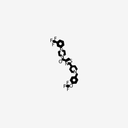 O=C(c1csc(C2CCN(Cc3ccc(OC(F)(F)F)cc3)CC2)n1)N1CCN(c2cccc(C(F)(F)F)c2)CC1